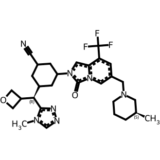 C[C@H]1CCCN(Cc2cc(C(F)(F)F)c3cn(C4CC(C#N)CC([C@@H](c5nncn5C)C5COC5)C4)c(=O)n3c2)C1